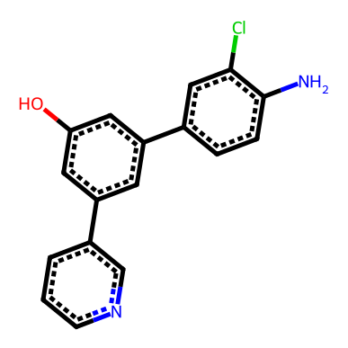 Nc1ccc(-c2cc(O)cc(-c3cccnc3)c2)cc1Cl